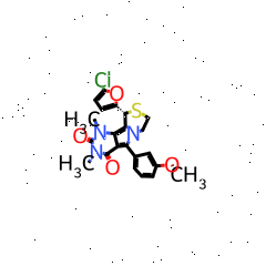 COc1cccc(-c2c3c(=O)n(C)c(=O)n(C)c3c3n2CCS[C@H]3c2ccc(Cl)o2)c1